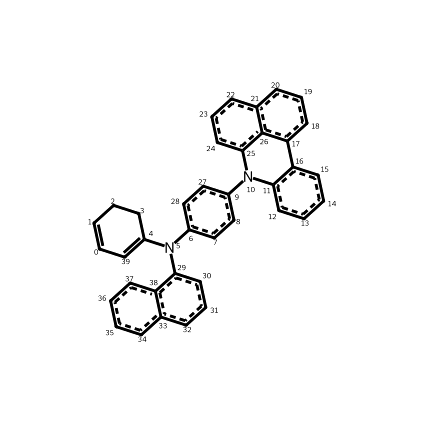 C1=CCCC(N(c2ccc(N3c4ccccc4-c4cccc5cccc3c45)cc2)c2cccc3ccccc23)=C1